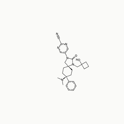 CN(C)[C@]1(c2ccccc2)CC[C@@]2(CC1)CN(c1cnc(C#N)nc1)C(=O)N2CC1(O)CCC1